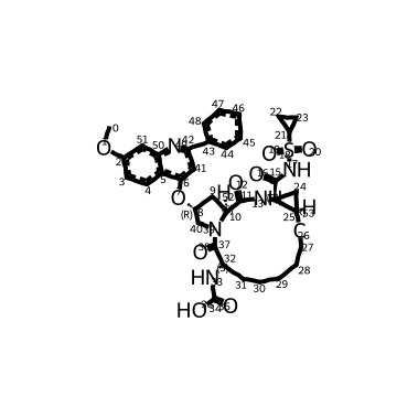 COc1ccc2c(O[C@@H]3C[C@H]4C(=O)N[C@]5(C(=O)NS(=O)(=O)C6CC6)C[C@H]5CCCCCC[C@H](NC(=O)O)C(=O)N4C3)cc(-c3ccccc3)nc2c1